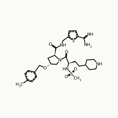 Cc1ccc(CO[C@@H]2C[C@@H](C(=O)NCc3ccc(C(=N)N)s3)N(C(=O)[C@@H](CCC3CCNCC3)NS(C)(=O)=O)C2)cc1